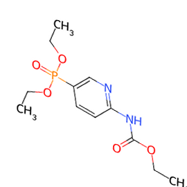 CCOC(=O)Nc1ccc(P(=O)(OCC)OCC)cn1